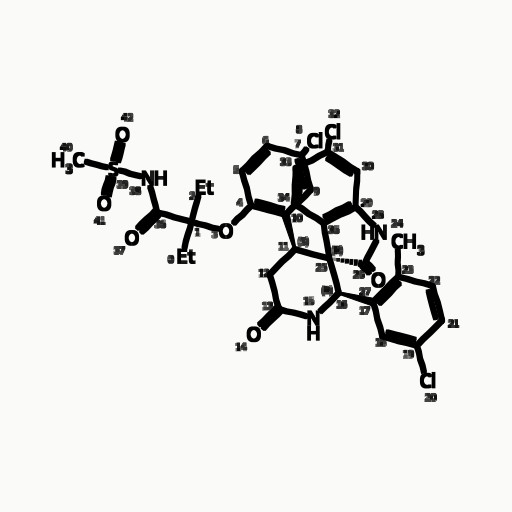 CCC(CC)(Oc1ccc(Cl)cc1[C@@H]1CC(=O)N[C@H](c2cc(Cl)ccc2C)[C@@]12C(=O)Nc1cc(Cl)ccc12)C(=O)NS(C)(=O)=O